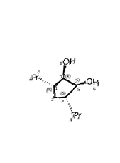 CC(C)[C@H]1C[C@@H](C(C)C)[C@H](O)[C@@H]1O